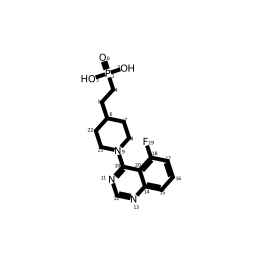 O=P(O)(O)CCC1CCN(c2ncnc3cccc(F)c23)CC1